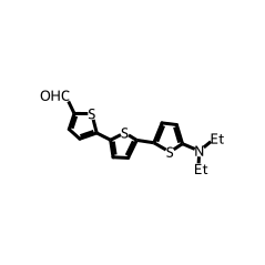 CCN(CC)c1ccc(-c2ccc(-c3ccc(C=O)s3)s2)s1